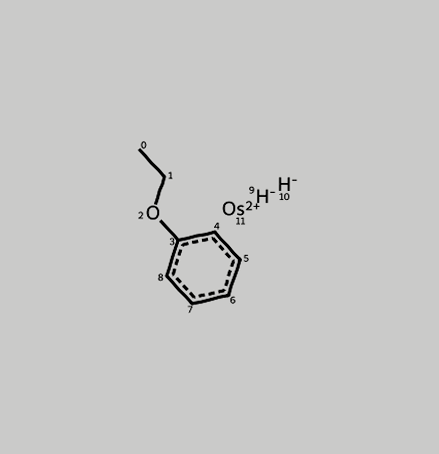 CCOc1ccccc1.[H-].[H-].[Os+2]